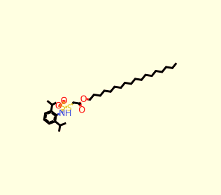 CCCCCCCCCCCCCCCCCCOC(=O)CSS(=O)(=O)Nc1c(C(C)C)cccc1C(C)C